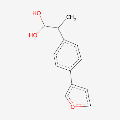 [CH2]C(c1ccc(-c2ccoc2)cc1)C(O)O